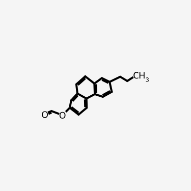 CCCc1ccc2c(ccc3cc(OC=O)ccc32)c1